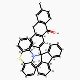 Cc1ccc2c(c1)Cc1cc(C)c(C3(N4c5ccccc5Sc5ccccc54)c4ccccc4-c4ccccc43)cc1C2=O